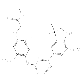 COc1cc(OCC(=O)N(C)C)c(Cl)cc1Nc1nccc(-c2cc(C#N)c3c(c2)C(C)(C)CN3)n1